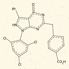 CC(C)c1[nH]n(-c2c(Cl)cc(Cl)cc2Cl)c2nc(Cc3ccc(C(=O)O)cc3)nc(=O)c1-2